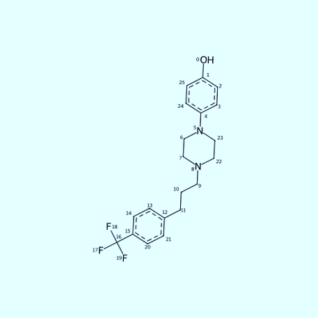 Oc1ccc(N2CCN(CCCc3ccc(C(F)(F)F)cc3)CC2)cc1